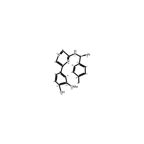 CCC[C@H](Nc1cncc(-c2ccc(O)c(OC)c2)n1)c1ccc(C)cc1